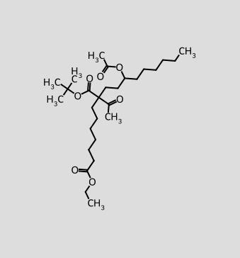 CCCCCCC(CCC(CCCCCCC(=O)OCC)(C(C)=O)C(=O)OC(C)(C)C)OC(C)=O